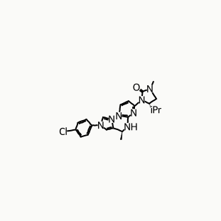 CC(C)[C@H]1CN(C)C(=O)N1c1ccnc(N[C@@H](C)c2cn(-c3ccc(Cl)cc3)cn2)n1